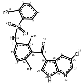 CCCc1ccccc1S(=O)(=O)Nc1ccc(F)c(C(=O)c2c[nH]c3ncc(Cl)cc23)c1F